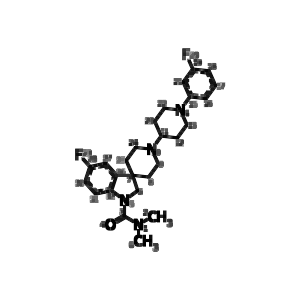 CN(C)C(=O)N1CC2(CCN(C3CCN(c4cccc(F)c4)CC3)CC2)c2cc(F)ccc21